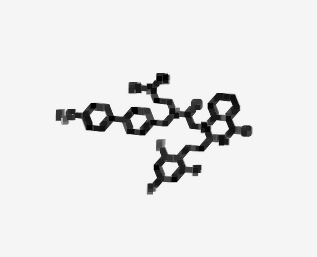 CCN(CC)CCN(Cc1ccc(-c2ccc(C(F)(F)F)cc2)cc1)C(=O)Cn1c(CCc2c(F)cc(F)cc2F)nc(=O)c2ccccc21